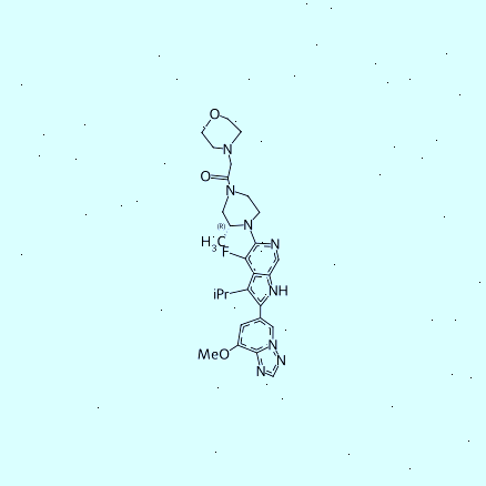 COc1cc(-c2[nH]c3cnc(N4CCN(C(=O)CN5CCOCC5)C[C@H]4C)c(F)c3c2C(C)C)cn2ncnc12